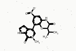 CC(C)C1Oc2c(cc([N+](=O)[O-])cc2-c2cn(C)c(=O)c3[nH]ccc23)NC1=O